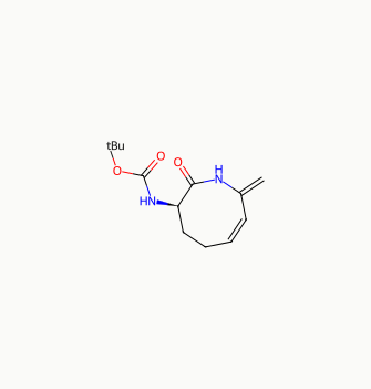 C=C1/C=C\CC[C@@H](NC(=O)OC(C)(C)C)C(=O)N1